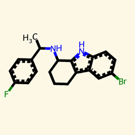 CC(NC1CCCc2c1[nH]c1ccc(Br)cc21)c1ccc(F)cc1